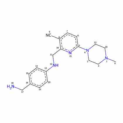 CN1CCN(c2ccc(C#N)c(CNc3ccc(CN)cc3)n2)CC1